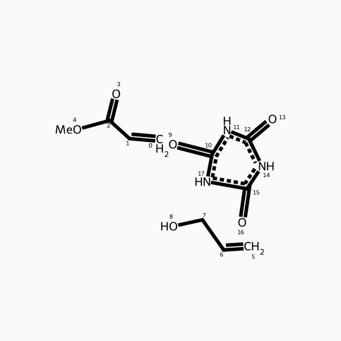 C=CC(=O)OC.C=CCO.O=c1[nH]c(=O)[nH]c(=O)[nH]1